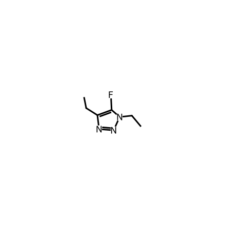 CCc1nnn(CC)c1F